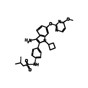 COc1ccnc(Oc2ccc3c(N)c(-c4ccc(NS(=O)(=O)CC(C)C)cc4)n(C4CCC4)c3c2)n1